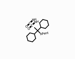 CCCCCC(C)(C1CCCCC1)C1CCCCC1.N=C=O.N=C=O